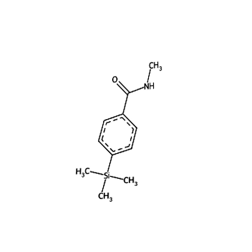 CNC(=O)c1ccc([Si](C)(C)C)cc1